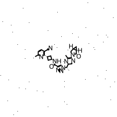 Cc1ccc(C#N)c([C@H]2C[C@@H](NC(=O)c3cn([C@@H](C)c4cnc(N5C[C@H]6C[C@H]6C5=O)c(C)n4)nn3)C2)n1